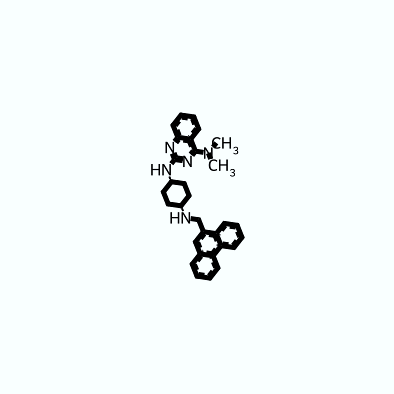 CN(C)c1nc(N[C@H]2CC[C@@H](NCc3cc4ccccc4c4ccccc34)CC2)nc2ccccc12